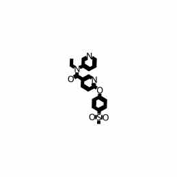 CCN(C(=O)c1ccc(Oc2ccc(S(C)(=O)=O)cc2)nc1)c1cccnc1